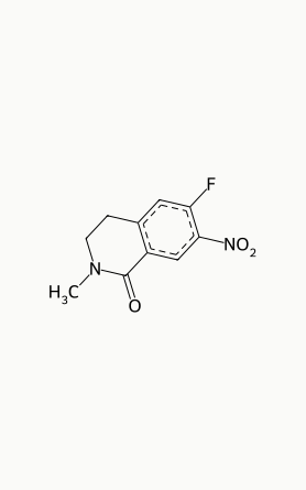 CN1CCc2cc(F)c([N+](=O)[O-])cc2C1=O